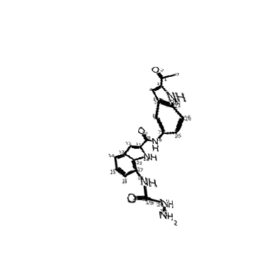 CC(=O)c1cc2cc(NC(=O)c3cc4cccc(NC(=O)NN)c4[nH]3)ccc2[nH]1